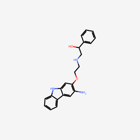 Nc1cc2c(cc1OCCNCC(O)c1ccccc1)[nH]c1ccccc12